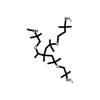 CNC(C)(C)COC(C)C(C)(CC(C)(C)OCCC(C)(C)N)CC(C)(C)OCC(C)(C)N